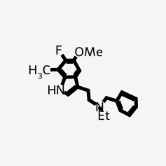 CCN(CCc1c[nH]c2c(C)c(F)c(OC)cc12)Cc1ccccc1